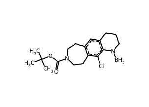 BN1CCCc2cc3c(c(Cl)c21)CCN(C(=O)OC(C)(C)C)CC3